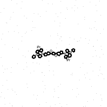 CC(C)c1ccc(N(c2ccc3cc4c(cc3c2)oc2cc3c(cc24)oc2cc4cc(N(c5ccc(C(C)C)cc5)c5cccc6c5c5ccccc5n6-c5ccccc5)ccc4cc23)c2cccc3c2c2ccccc2n3-c2ccccc2)cc1